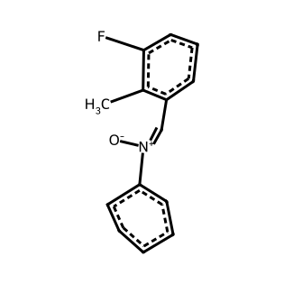 Cc1c(F)cccc1C=[N+]([O-])c1ccccc1